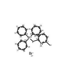 Cc1cccc(C[P+](c2ccccc2)(c2ccccc2)c2ccccc2)n1.[Br-]